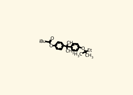 CCC(C)C(=O)Oc1ccc(C(C)(C)c2ccc(OC(C)(C)CC)cc2)cc1